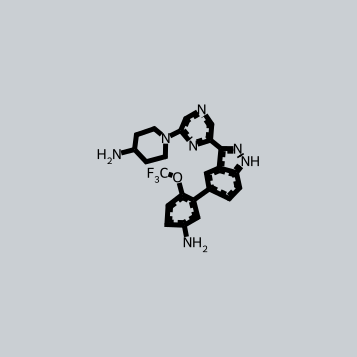 Nc1ccc(OC(F)(F)F)c(-c2ccc3[nH]nc(-c4cncc(N5CCC(N)CC5)n4)c3c2)c1